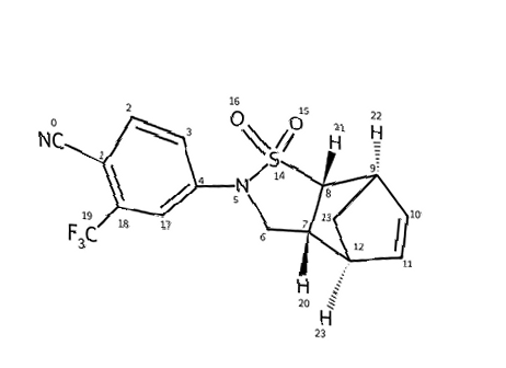 N#Cc1ccc(N2C[C@@H]3[C@@H]([C@H]4C=C[C@@H]3C4)S2(=O)=O)cc1C(F)(F)F